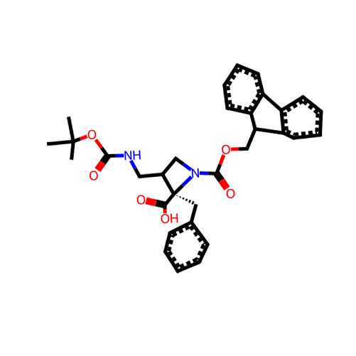 CC(C)(C)OC(=O)NCC1CN(C(=O)OCC2c3ccccc3-c3ccccc32)[C@@]1(Cc1ccccc1)C(=O)O